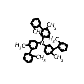 Cc1ccccc1-c1cc(N(c2ccc(C)c(-c3ccccc3C)c2)c2ccc(C)c(-c3ccccc3C)c2)ccc1C